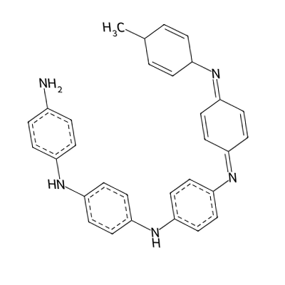 CC1C=CC(N=C2C=CC(=Nc3ccc(Nc4ccc(Nc5ccc(N)cc5)cc4)cc3)C=C2)C=C1